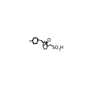 Cc1ccc(/C=C2/C(=O)C3(CS(=O)(=O)O)CCC2C3(C)C)cc1